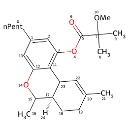 CCCCCc1cc(OC(=O)C(C)(C)OC)c2c(c1)OC(C)[C@@H]1CCC(C)=CC21